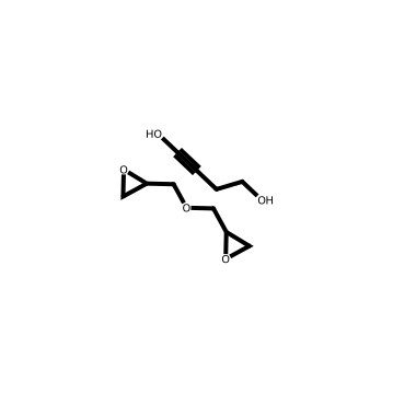 C(OCC1CO1)C1CO1.OC#CCCO